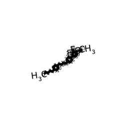 C/C=C/CCc1ccc(CC/C=C/C2CCC(c3ccc(OCC)c(F)c3F)CC2)cc1